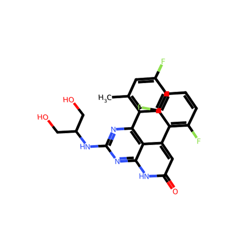 Cc1cc(F)ccc1-c1nc(NC(CO)CO)nc2[nH]c(=O)cc(-c3c(F)cccc3F)c12